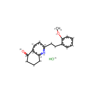 COc1ccccc1CCc1ccc2c(n1)CCCC2=O.Cl